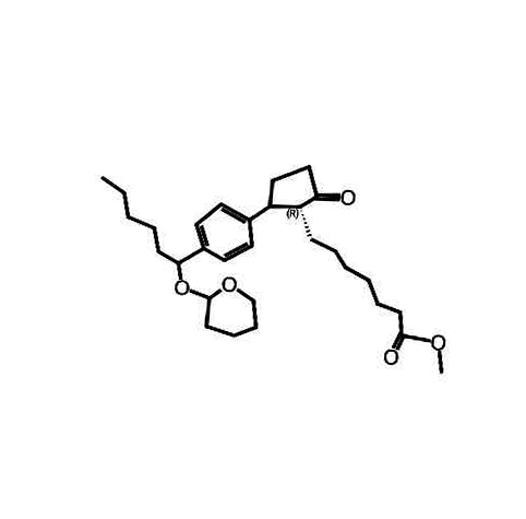 CCCCCC(OC1CCCCO1)c1ccc(C2CCC(=O)[C@@H]2CCCCCCC(=O)OC)cc1